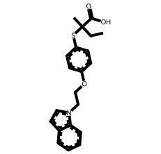 CCC(C)(Sc1ccc(OCCn2ccc3ccccc32)cc1)C(=O)O